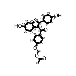 CC(=O)OCOc1ccc(C(=O)c2c(-c3ccc(O)cc3)sc3cc(O)ccc23)cc1